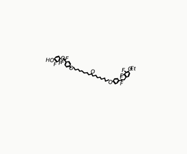 CCOc1ccc(CC(F)(F)c2ccc(OCCCCCCCCC(=O)CCCCCCCCOc3ccc(C(F)(F)Oc4ccc(O)c(F)c4F)cc3)cc2)c(F)c1F